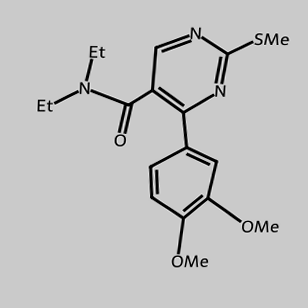 CCN(CC)C(=O)c1cnc(SC)nc1-c1ccc(OC)c(OC)c1